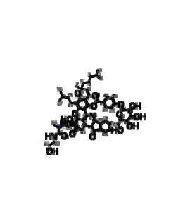 CC(C)=CCCC1(C)C=Cc2c(c(CC=C(C)C)c3c(c2OC(=O)c2ccc(O[C@@H]4O[C@H](CO)[C@@H](O)[C@H](O)[C@H]4O)cc2)C2=C4C(C5CC(C(C)C)C4(O3)C(O)(C/C=C(/C)C(=O)NCCO)C5=O)C3C(=O)c4ccccc4C3=N2)O1